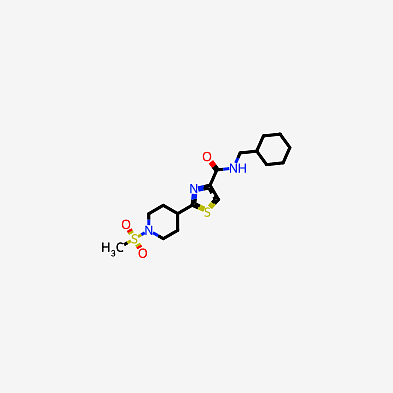 CS(=O)(=O)N1CCC(c2nc(C(=O)NCC3CCCCC3)cs2)CC1